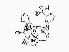 O=C(O)c1ccccc1.O=C1C[C@@H]2OCC=C3CN4CC[C@]56c7ccccc7N1[C@H]5[C@H]2[C@H]3C[C@H]46